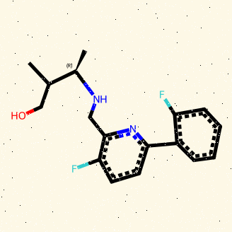 CC(CO)[C@@H](C)NCc1nc(-c2ccc[c]c2F)ccc1F